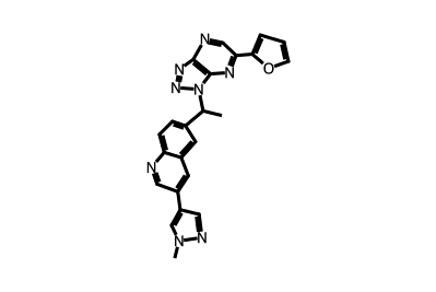 CC(c1ccc2ncc(-c3cnn(C)c3)cc2c1)n1nnc2ncc(-c3ccco3)nc21